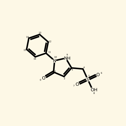 O=c1cc(CS(=O)(=O)O)[nH]n1-c1ccccc1